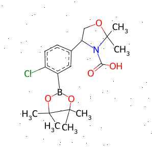 CC1(C)OCC(c2ccc(Cl)c(B3OC(C)(C)C(C)(C)O3)c2)N1C(=O)O